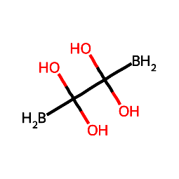 BC(O)(O)C(B)(O)O